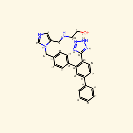 OCCNCc1cncn1Cc1ccc(-c2cc(-c3ccccc3)ccc2-c2nn[nH]n2)cc1